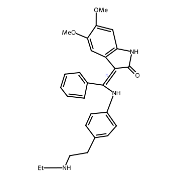 CCNCCc1ccc(N/C(=C2\C(=O)Nc3cc(OC)c(OC)cc32)c2ccccc2)cc1